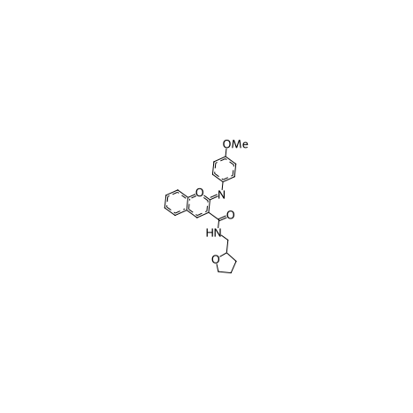 COc1ccc(N=c2oc3ccccc3cc2C(=O)NCC2CCCO2)cc1